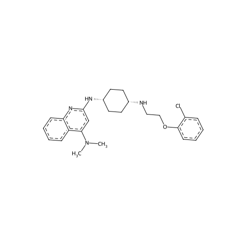 CN(C)c1cc(N[C@H]2CC[C@@H](NCCOc3ccccc3Cl)CC2)nc2ccccc12